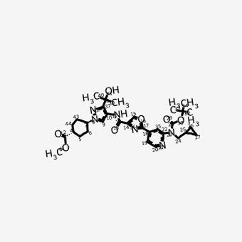 COC(=O)[C@H]1CC[C@H](n2cc(NC(=O)c3coc(-c4ccnc(N(CC5CC5)C(=O)OC(C)(C)C)c4)n3)c(C(C)(C)O)n2)CC1